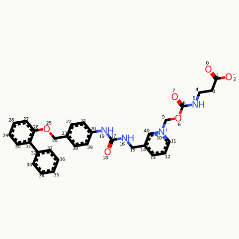 O=C([O-])CCNC(=O)OC[n+]1cccc(CNC(=O)Nc2ccc(COc3ccccc3-c3ccccc3)cc2)c1